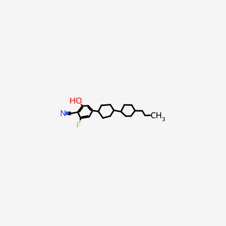 CCCC1CCC(C2CCC(c3cc(O)c(C#N)c(F)c3)CC2)CC1